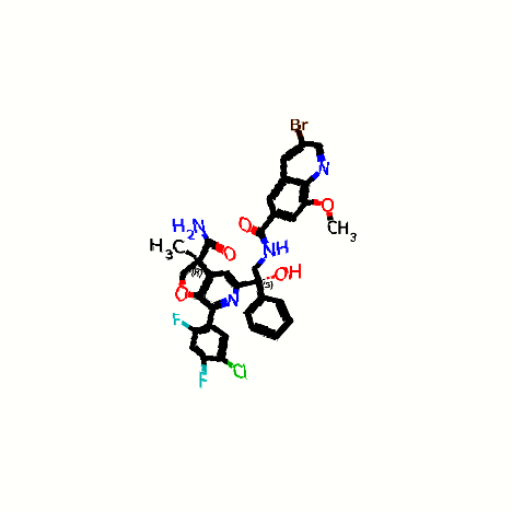 COc1cc(C(=O)NC[C@@](O)(c2ccccc2)c2cc3c(c(-c4cc(Cl)c(F)cc4F)n2)OC[C@]3(C)C(N)=O)cc2cc(Br)cnc12